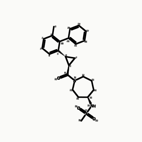 Cc1cccc([C@@H]2C[C@H]2C(=O)N2CCC[C@@H](NS(C)(=O)=O)CC2)c1-c1ccccc1